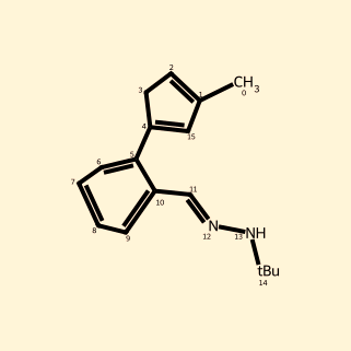 CC1=CCC(c2ccccc2C=NNC(C)(C)C)=C1